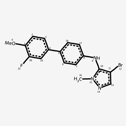 COc1ccc(-c2ccc(Nc3c(Br)cnn3C)cc2)cc1F